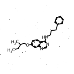 CCC(C)COc1ccc2c(NCCCc3ccccc3)ncnc2c1